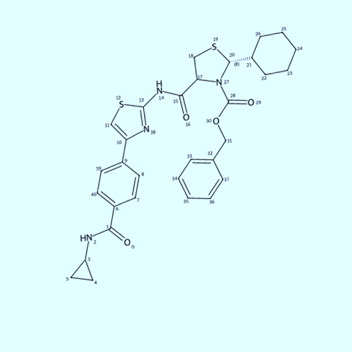 O=C(NC1CC1)c1ccc(-c2csc(NC(=O)C3CS[C@H](C4CCCCC4)N3C(=O)OCc3ccccc3)n2)cc1